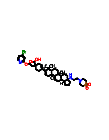 CC1(C)C(C2=CCC(CCOc3cc(Br)ccn3)(C(=O)O)CC2)=CCC2(C)C1CCC1(C)C3CC[C@@]4(NCCN5CCS(=O)(=O)CC5)CCC[C@@H]4C3CCC12